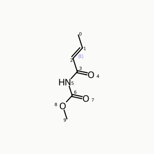 C/C=C/C(=O)NC(=O)OC